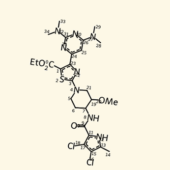 CCOC(=O)c1sc(N2CCC(NC(=O)c3[nH]c(C)c(Cl)c3Cl)C(OC)C2)nc1-c1cc(N(C)C)nc(N(C)C)n1